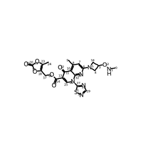 CNOC1CN(c2cc(C)c3c(=O)c(C(=O)OCc4oc(=O)oc4C)cn(-c4ncns4)c3n2)C1